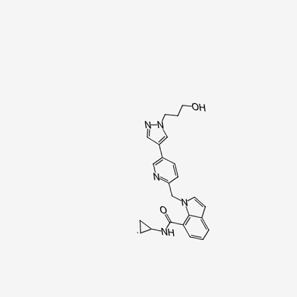 O=C(NC1[CH]C1)c1cccc2ccn(Cc3ccc(-c4cnn(CCCO)c4)cn3)c12